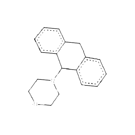 c1ccc2c(c1)Cc1ccccc1C2N1CCNCC1